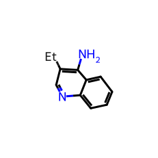 CCc1cnc2ccccc2c1N